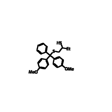 [CH2]CC(S)CSC(c1ccccc1)(c1ccc(OC)cc1)c1ccc(OC)cc1